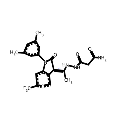 C/C(NNC(=O)CC(N)=O)=C1/C(=O)N(c2cc(C)cc(C)c2)c2cc(C(F)(F)F)ccc21